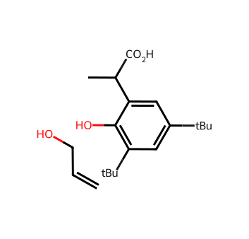 C=CCO.CC(C(=O)O)c1cc(C(C)(C)C)cc(C(C)(C)C)c1O